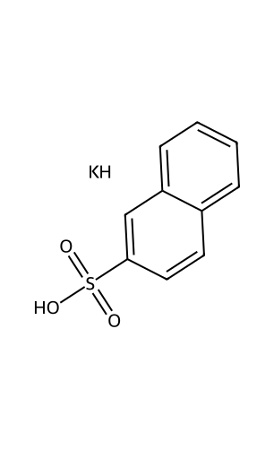 O=S(=O)(O)c1ccc2ccccc2c1.[KH]